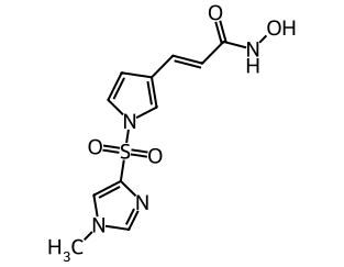 Cn1cnc(S(=O)(=O)n2ccc(C=CC(=O)NO)c2)c1